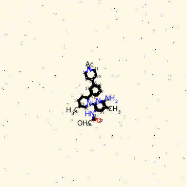 CC(=O)N1CCC(c2cccc(C3CCC(C)CN3c3nc(N)c(C)cc3NC(=O)C=O)c2)CC1